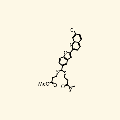 COC(=O)CCSC(SCCC(=O)N(C)C)c1ccc2oc(-c3ccc4ccc(Cl)cc4n3)cc2c1